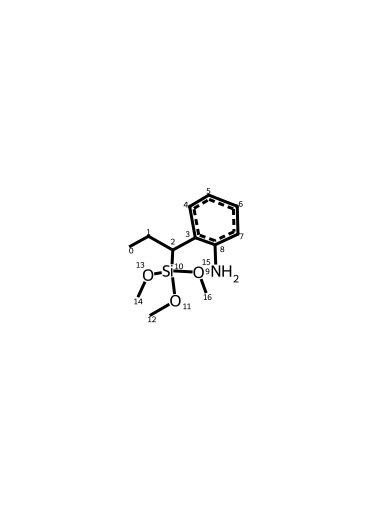 CCC(c1ccccc1N)[Si](OC)(OC)OC